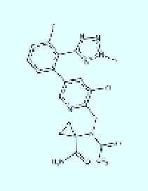 Cn1nnc(-c2c(F)cccc2-c2cnc(CN(C(=O)C(F)(F)F)C3(C(N)=O)CC3)c(Cl)c2)n1